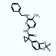 Cc1ccc(NC(=O)C2(c3ccc4c(c3)OC(F)(F)O4)CC2)nc1NCc1ccccc1